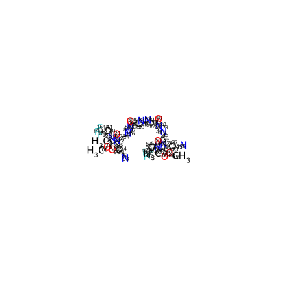 CCOC(=O)C1=C(C)N(c2cccc(C(F)(F)F)c2)C(=O)N(CCCN2CCN(C(=O)c3ccc(-c4ccc(C(=O)N5CCN(CCCN6C(=O)N(c7cccc(C(F)(F)F)c7)C(C)=C(C(=O)OCC)C6c6ccc(C#N)cc6)CC5)cn4)nc3)CC2)C1c1ccc(C#N)cc1